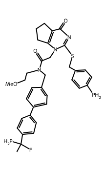 COCCN(Cc1ccc(-c2ccc(C(C)(F)P)cc2)cc1)C(=O)Cn1c(SCc2ccc(P)cc2)nc(=O)c2c1CCC2